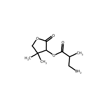 BCC(C)C(=O)OC1C(=O)OCC1(C)C